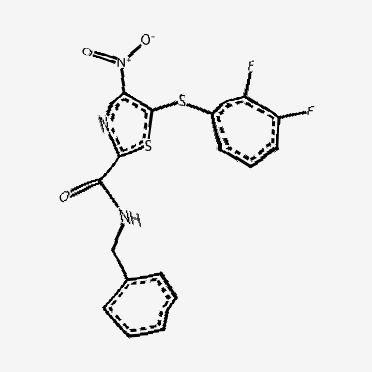 O=C(NCc1ccccc1)c1nc([N+](=O)[O-])c(Sc2cccc(F)c2F)s1